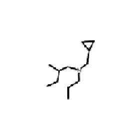 CCCN(CC(C)CC)CC1CC1